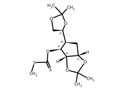 CSC(=S)O[C@H]1[C@@H]([C@H]2COC(C)(C)O2)C[C@@H]2OC(C)(C)O[C@H]12